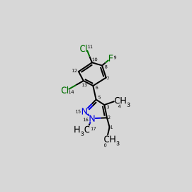 CCc1c(C)c(-c2cc(F)c(Cl)cc2Cl)nn1C